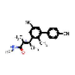 CCCNC(=O)/C(C)=C(\C)c1cc(C#N)cc(-c2ccc(C#N)cc2)c1C